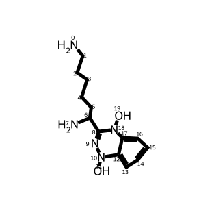 NCCCCCC(N)C1=NN(O)c2ccccc2N1O